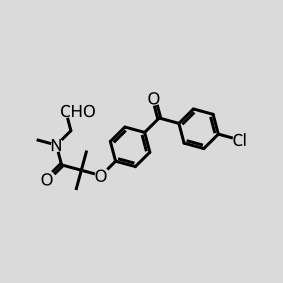 CN(CC=O)C(=O)C(C)(C)Oc1ccc(C(=O)c2ccc(Cl)cc2)cc1